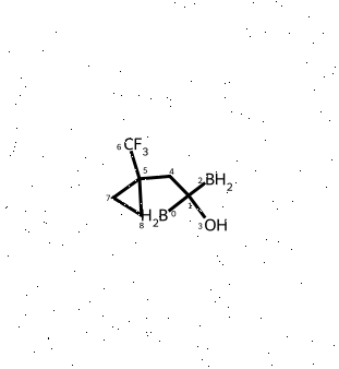 BC(B)(O)CC1(C(F)(F)F)CC1